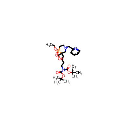 CCOP1(=O)CCN(Cc2ccccn2)CC1(CCCCN(C(=O)OC(C)(C)C)C(=O)OC(C)(C)C)C(=O)O